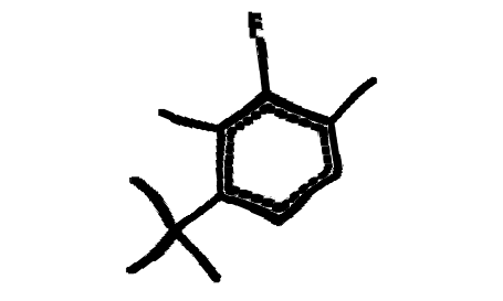 Cc1ccc(C(C)(C)C)c(C)c1F